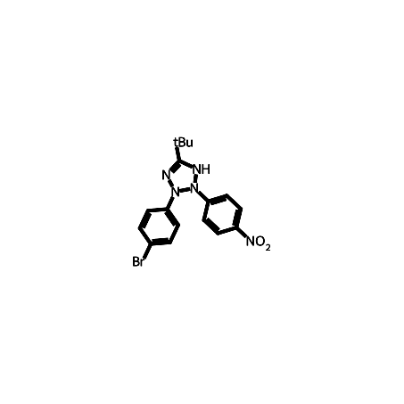 CC(C)(C)C1=NN(c2ccc(Br)cc2)N(c2ccc([N+](=O)[O-])cc2)N1